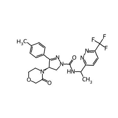 Cc1ccc(C2=NN(C(=O)NC(C)c3ccc(C(F)(F)F)nn3)C[C@H]2N2CCOCC2=O)cc1